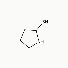 SC1CCCN1